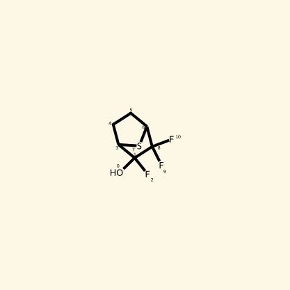 OC1(F)C2CCC(S2)C1(F)F